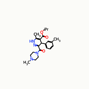 CC1=C(C(=O)OC(C)C)C(c2cccc(C)c2)C(C(=O)N2CCN(C)CC2)=NN1